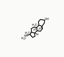 CNC1CC[C@H]2[C@@H]3CC=C4CC(O)CC[C@]4(C)[C@@H]3CC[C@]12C